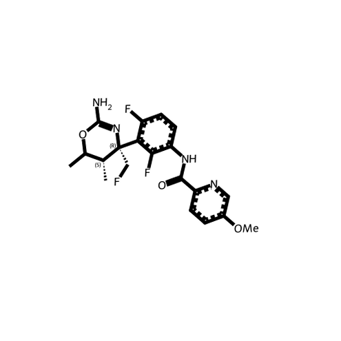 COc1ccc(C(=O)Nc2ccc(F)c([C@]3(CF)N=C(N)OC(C)[C@H]3C)c2F)nc1